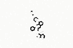 C[C@H](Nc1ncnc2[nH]ccc(=O)c12)c1c(Cl)c2cccc(N3CCC(OC(=O)NC(C)(C)C)CC3)c2c(=O)n1-c1ccccc1